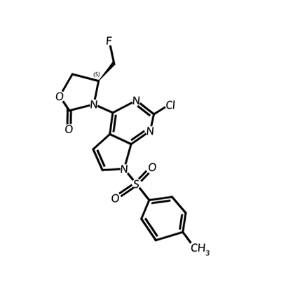 Cc1ccc(S(=O)(=O)n2ccc3c(N4C(=O)OC[C@H]4CF)nc(Cl)nc32)cc1